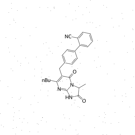 CCCCc1nc2n(c(=O)c1Cc1ccc(-c3ccccc3C#N)cc1)C(C)C(=O)N2